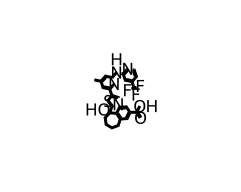 Cc1cc(Nc2cc(C(F)(F)F)ccn2)nc(-c2cnc(C3(O)CCCCc4cc(C(=O)O)ccc43)s2)c1